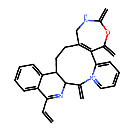 C=CC1=NC2C(=C)[n+]3ccccc3C3=C(CCC2c2ccccc21)CNC(=C)OC3=C